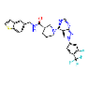 O=C(NCc1ccc2sccc2c1)[C@@H]1CCCN(c2ncnc3nn(-c4ccc(C(F)(F)F)c(F)c4)cc23)C1